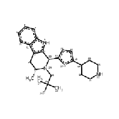 C[C@@H]1Cc2c([nH]c3ccccc23)[C@@H](c2ccc(C3CCNCC3)s2)N1CC(C)(C)F